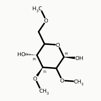 COCC1O[C@@H](O)C(OC)[C@@H](OC)[C@@H]1O